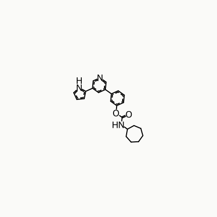 O=C(NC1CCCCCC1)Oc1cccc(-c2cncc(-c3ccc[nH]3)c2)c1